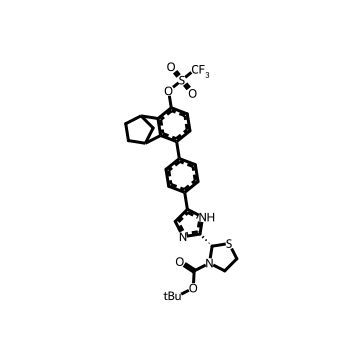 CC(C)(C)OC(=O)N1CCS[C@H]1c1ncc(-c2ccc(-c3ccc(OS(=O)(=O)C(F)(F)F)c4c3C3CCC4C3)cc2)[nH]1